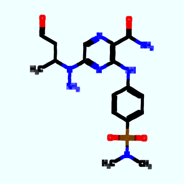 CC(CC=O)N(N)c1cnc(C(N)=O)c(Nc2ccc(S(=O)(=O)N(C)C)cc2)n1